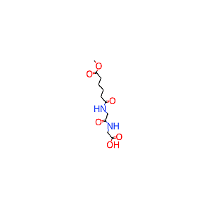 COC(=O)CCCCC(=O)NCC(=O)NCC(=O)O